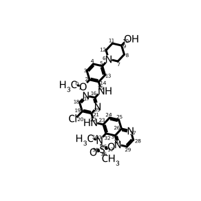 COc1ccc(N2CCC(O)CC2)cc1Nc1ncc(Cl)c(Nc2ccc3nccnc3c2N(C)S(C)(=O)=O)n1